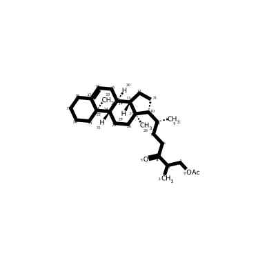 CC(=O)OCC(C)C(=O)CC[C@@H](C)[C@H]1CC[C@H]2[C@@H]3CC=C4CCCC[C@]4(C)[C@H]3CC[C@]12C